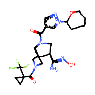 N/C(=N\O)C1CN(C(=O)c2cnn(C3CCCCO3)c2)CC12CN(C(=O)C1(C(F)(F)F)CC1)C2